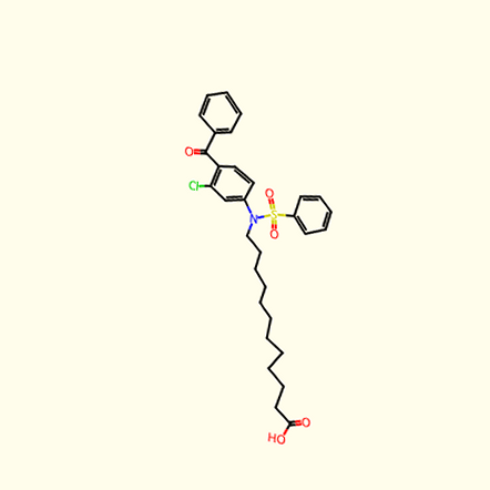 O=C(O)CCCCCCCCCCCN(c1ccc(C(=O)c2ccccc2)c(Cl)c1)S(=O)(=O)c1ccccc1